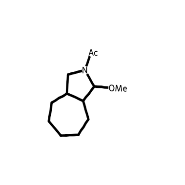 COC1C2CCCCCC2CN1C(C)=O